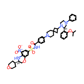 CC(C)Oc1ccccc1[C@@H]1CN(c2ccccc2)CCN1C1CC2(CCN(c3ccc(C(=O)NS(=O)(=O)c4cc5c(c([N+](=O)[O-])c4)N[C@H](C4CCOCC4)CO5)cc3)CC2)C1